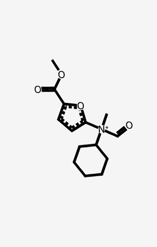 COC(=O)c1ccc([N+](C)(C=O)C2CCCCC2)o1